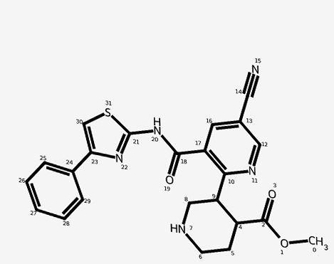 COC(=O)C1CCNCC1c1ncc(C#N)cc1C(=O)Nc1nc(-c2ccccc2)cs1